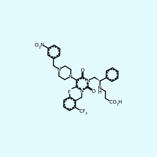 Cc1c(N2CCN(Cc3cccc([N+](=O)[O-])c3)CC2)c(=O)n(C[C@H](NCCC(=O)O)c2ccccc2)c(=O)n1Cc1c(F)cccc1C(F)(F)F